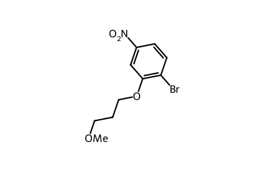 COCCCOc1cc([N+](=O)[O-])ccc1Br